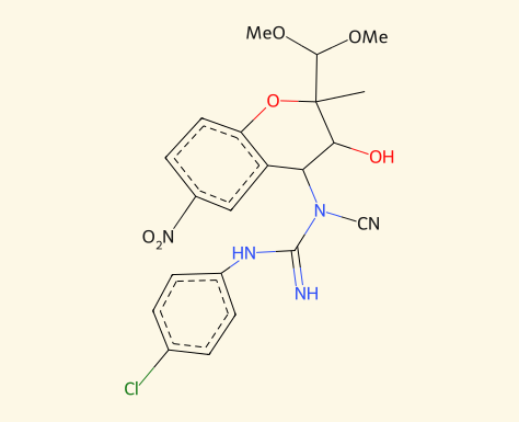 COC(OC)C1(C)Oc2ccc([N+](=O)[O-])cc2C(N(C#N)C(=N)Nc2ccc(Cl)cc2)C1O